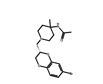 CC(=O)NC1(C)CCN(C[C@H]2COc3ccc(Br)cc3O2)CC1